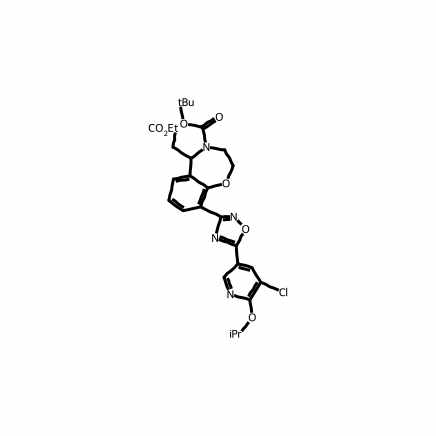 CCOC(=O)CC1c2cccc(-c3noc(-c4cnc(OC(C)C)c(Cl)c4)n3)c2OCCN1C(=O)OC(C)(C)C